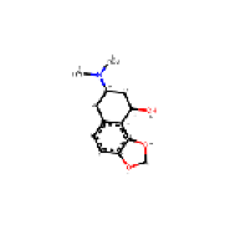 CCCCN(CCC)[C@@H]1Cc2ccc3c(c2C(O)C1)OCO3